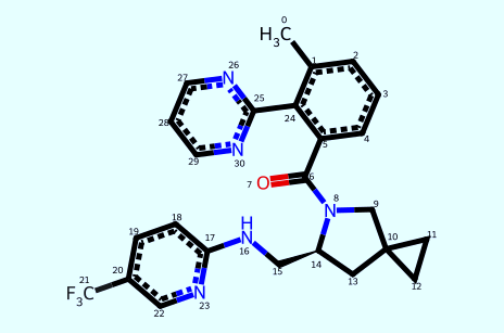 Cc1cccc(C(=O)N2CC3(CC3)C[C@H]2CNc2ccc(C(F)(F)F)cn2)c1-c1ncccn1